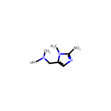 CCCN(C)Cc1cnc([N+](=O)[O-])n1C